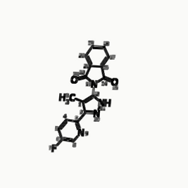 Cc1c(-c2ccc(F)cn2)n[nH]c1N1C(=O)c2ccccc2C1=O